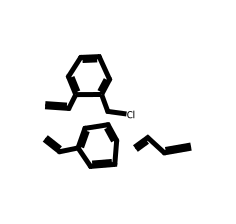 C=CC=C.C=Cc1ccccc1.C=Cc1ccccc1CCl